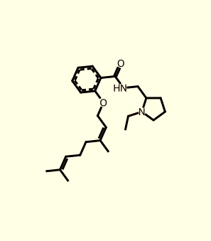 CCN1CCCC1CNC(=O)c1ccccc1OCC=C(C)CCC=C(C)C